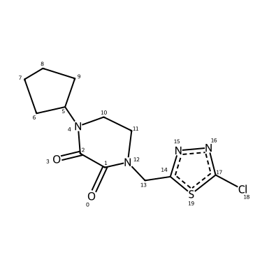 O=C1C(=O)N(C2CCCC2)CCN1Cc1nnc(Cl)s1